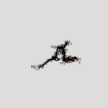 CC(=O)N[C@H](CCCCNC(=O)COC1CCCCCc2c1nnn2CCOCCOCCOCCOCCC(=O)NCCS(=O)(=O)O)C(=O)N[C@H](C(=O)N[C@@H](CCCCC(N)=O)C(=O)Nc1ccc(COC(=O)Nc2ccc3c(c2)[C@@]2(C)CCC[C@](C)(C(=O)NC(=O)[C@@]4(C)CCC[C@]5(C)c6cc(O)ccc6CC[C@@H]45)[C@@H]2CC3)cc1)C(C)C